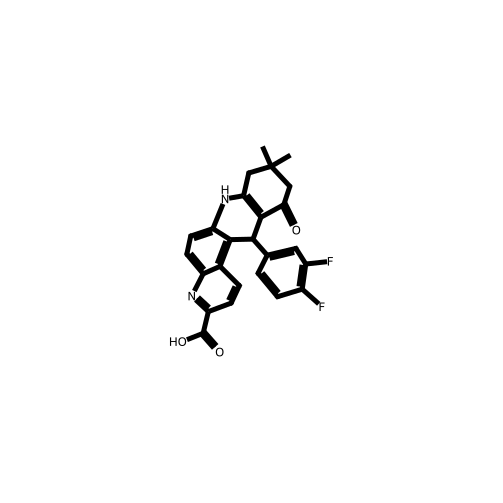 CC1(C)CC(=O)C2=C(C1)Nc1ccc3nc(C(=O)O)ccc3c1C2c1ccc(F)c(F)c1